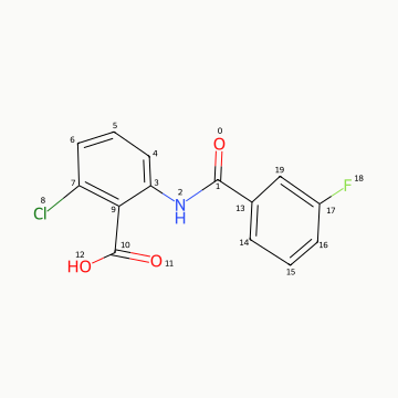 O=C(Nc1cccc(Cl)c1C(=O)O)c1cccc(F)c1